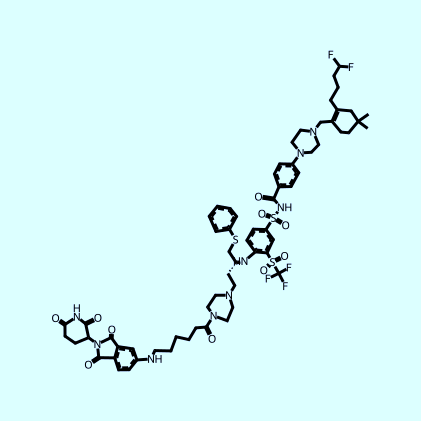 CC1(C)CCC(CN2CCN(c3ccc(C(=O)NS(=O)(=O)c4ccc(N[C@H](CCN5CCN(C(=O)CCCCCNc6ccc7c(c6)C(=O)N(C6CCC(=O)NC6=O)C7=O)CC5)CSc5ccccc5)c(S(=O)(=O)C(F)(F)F)c4)cc3)CC2)=C(CCCC(F)F)C1